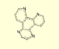 c1cnc2c(c1)c1nccnc1c1cccnc12